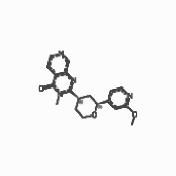 COc1cc([C@@H]2C[C@H](c3nc4cnccc4c(=O)n3C)CCO2)ccn1